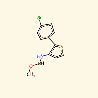 COBNc1ccsc1-c1ccc(Br)cc1